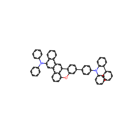 c1ccc(-c2ccccc2N(c2ccccc2)c2ccc(-c3ccc4c(c3)Oc3cccc5c3c-4cc3c4ccccc4c(N(c4ccccc4)c4ccccc4)cc53)cc2)cc1